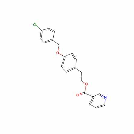 O=C(OCCc1ccc(OCc2ccc(Cl)cc2)cc1)c1cccnc1